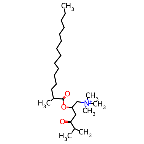 CCCCCCCCCCCCCC(C)C(=O)OC(CC(=O)C(C)C)C[N+](C)(C)C